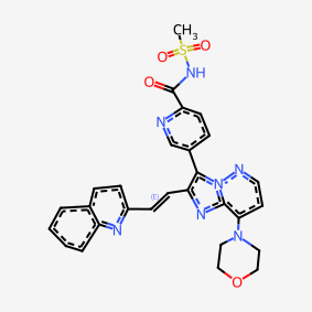 CS(=O)(=O)NC(=O)c1ccc(-c2c(/C=C/c3ccc4ccccc4n3)nc3c(N4CCOCC4)ccnn23)cn1